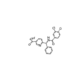 O=C(O)c1ccc([C@@H](NC(=O)c2ccc(Cl)c(Cl)c2)c2ccccc2)nc1